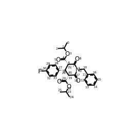 CC(C)OC(=O)[C@@H]1C(=O)N(Cc2ccccc2)C(=O)[C@H](C(=O)OC(C)C)[C@@H]1c1ccc(F)cc1